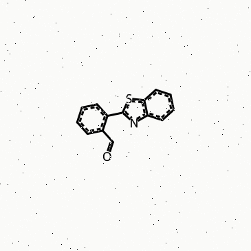 O=Cc1ccccc1-c1nc2ccccc2s1